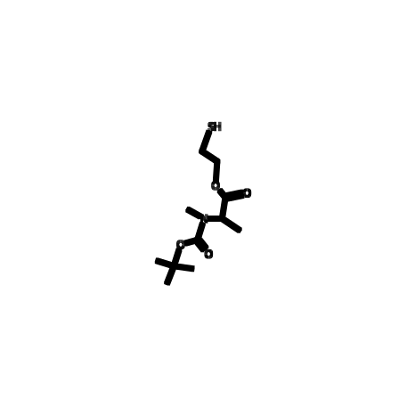 CC(C(=O)OCCS)N(C)C(=O)OC(C)(C)C